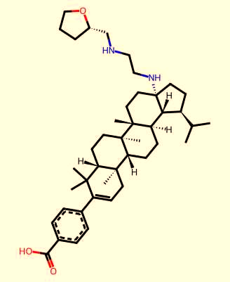 CC(C)[C@@H]1CC[C@]2(NCCNC[C@@H]3CCCO3)CC[C@]3(C)[C@H](CC[C@@H]4[C@@]5(C)CC=C(c6ccc(C(=O)O)cc6)C(C)(C)[C@@H]5CC[C@]43C)[C@@H]12